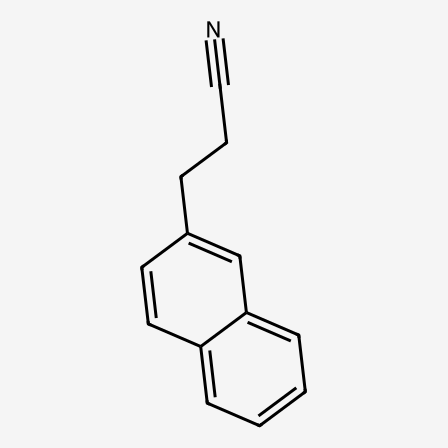 N#CCCc1ccc2ccccc2c1